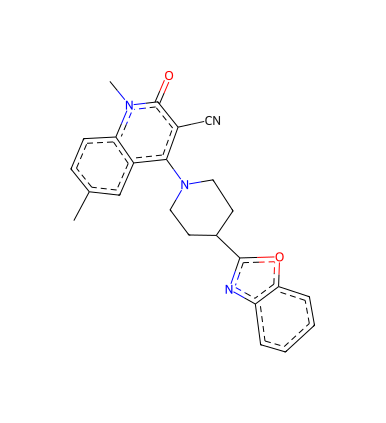 Cc1ccc2c(c1)c(N1CCC(c3nc4ccccc4o3)CC1)c(C#N)c(=O)n2C